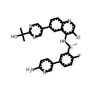 C[C@@H](Nc1c(Cl)cnc2ccc(-c3cnc(C(C)(C)O)nc3)cc12)c1cc(-c2ccc(N)nc2)ccc1F